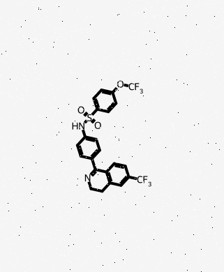 O=S(=O)(Nc1ccc(C2=NCCc3cc(C(F)(F)F)ccc32)cc1)c1ccc(OC(F)(F)F)cc1